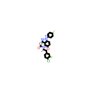 C[C@H](NC(=O)C(F)(F)F)[C@H](Oc1ccc(Nc2ccc(F)cc2)c(C=N)c1)c1ccc(Cl)c(F)c1